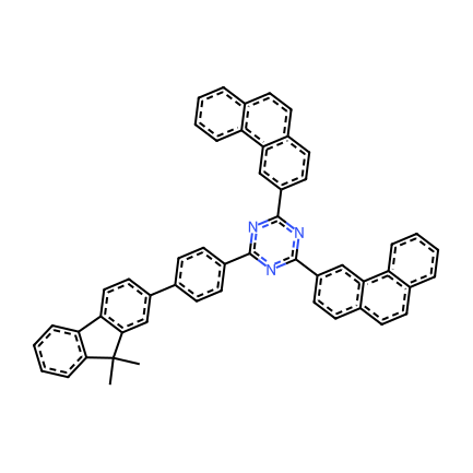 CC1(C)c2ccccc2-c2ccc(-c3ccc(-c4nc(-c5ccc6ccc7ccccc7c6c5)nc(-c5ccc6ccc7ccccc7c6c5)n4)cc3)cc21